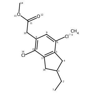 C.CCC1Cc2c(Cl)cc(CC(=O)OC)c(Cl)c2C1